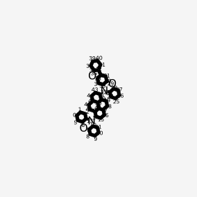 c1ccc2c(c1)Oc1ccccc1N2c1ccc2ccc3c(N4c5ccccc5Oc5cc6c(cc54)oc4ccccc46)ccc4ccc1c2c43